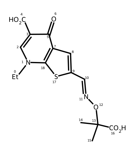 CCn1cc(C(=O)O)c(=O)c2cc(C=NOC(C)(C)C(=O)O)sc21